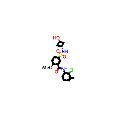 COc1ccc(S(=O)(=O)N[C@H]2C[C@H](O)C2)cc1C(=O)Nc1cccc(C)c1Cl